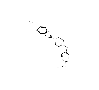 CCSc1ncc(CN2CCN(c3nc4cc(OC)ccc4o3)CC2)cn1